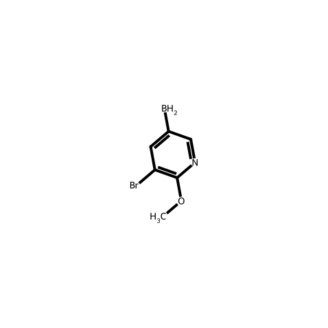 Bc1cnc(OC)c(Br)c1